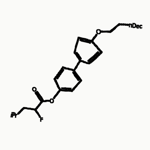 CCCCCCCCCCCCOc1ccc(-c2ccc(OC(=O)C(F)CC(C)C)cc2)cc1